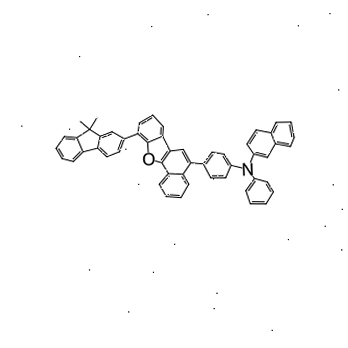 CC1(C)c2ccccc2-c2ccc(-c3cccc4c3oc3c5ccccc5c(-c5ccc(N(c6ccccc6)c6ccc7ccccc7c6)cc5)cc43)cc21